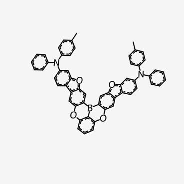 Cc1ccc(N(c2ccccc2)c2ccc3c(c2)oc2cc4c(cc23)Oc2cccc3c2B4c2cc4oc5cc(N(c6ccccc6)c6ccc(C)cc6)ccc5c4cc2O3)cc1